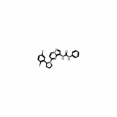 O=C(Nc1ccccc1)Nc1cnn2ccc(N3CCCC3c3cc(F)ccc3F)nc12